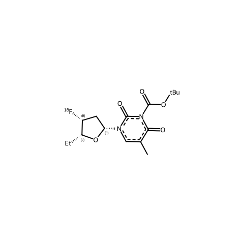 CC[C@H]1O[C@@H](n2cc(C)c(=O)n(C(=O)OC(C)(C)C)c2=O)C[C@H]1[18F]